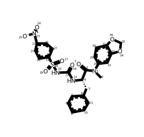 CN(C(=O)[C@H](Cc1ccccc1)NC(=O)NS(=O)(=O)c1ccc([N+](=O)[O-])cc1)c1ccc2c(c1)OCO2